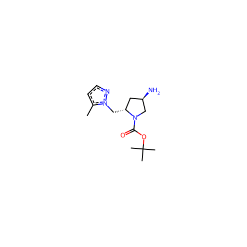 Cc1ccnn1C[C@@H]1C[C@@H](N)CN1C(=O)OC(C)(C)C